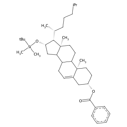 CC(C)CCC[C@@H](C)[C@H]1[C@@H](O[Si](C)(C)C(C)(C)C)CC2C3CC=C4C[C@@H](OC(=O)c5ccccc5)CC[C@]4(C)C3CC[C@@]21C